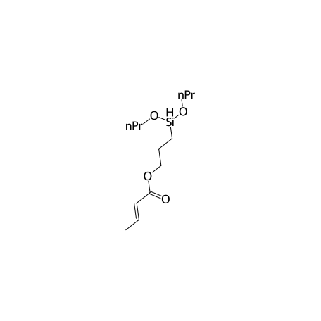 CC=CC(=O)OCCC[SiH](OCCC)OCCC